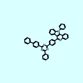 c1ccc(-c2ccc(-c3nc(-c4ccccc4)nc(-c4ccc(-c5nc6ccccc6c6c5c5ccccc5n6-c5ccccc5)cc4)n3)cc2)cc1